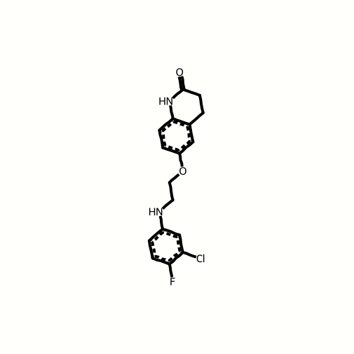 O=C1CCc2cc(OCCNc3ccc(F)c(Cl)c3)ccc2N1